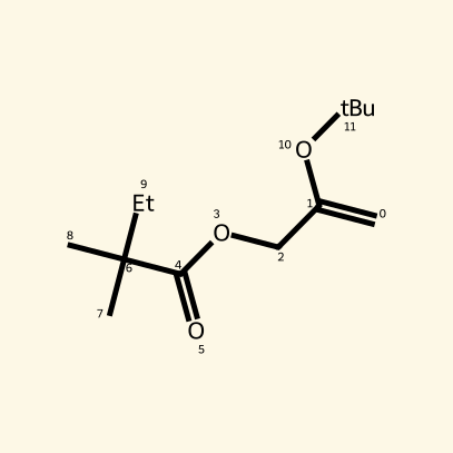 C=C(COC(=O)C(C)(C)CC)OC(C)(C)C